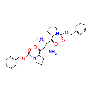 N[C@H](C(=O)[C@H]1CCCN1C(=O)OCc1ccccc1)[C@H](N)C(=O)[C@H]1CCCN1C(=O)OCc1ccccc1